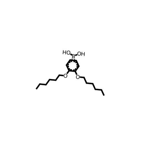 CCCCCCOc1ccccc1OCCCCCC.OBO